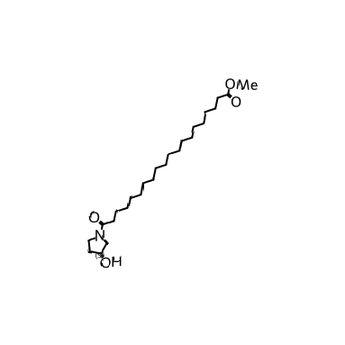 COC(=O)CCCCCCCCCCCCCCCCCCC(=O)N1CC[C@H](O)C1